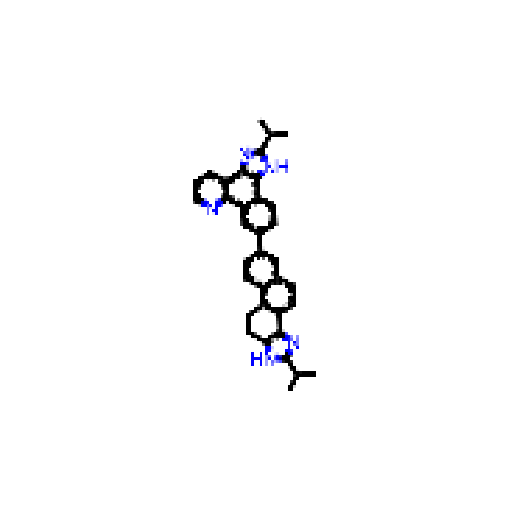 CC(C)c1nc2c([nH]1)CCc1c-2ccc2cc(-c3ccc4c(c3)c3ncccc3c3nc(C(C)C)[nH]c43)ccc12